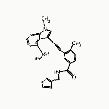 Cc1ccc(C(=O)NCc2ccsc2)cc1C#Cc1cn(C)c2ncnc(NC(C)C)c12